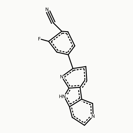 N#Cc1ccc(-c2ccc3c(n2)[nH]c2ccncc23)cc1F